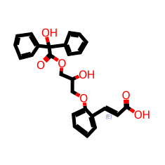 O=C(O)/C=C/c1ccccc1OCC(O)COC(=O)C(O)(c1ccccc1)c1ccccc1